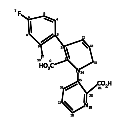 O=C(O)C1=C(c2ccc(F)cc2F)C=CCN1c1cccnc1C(=O)O